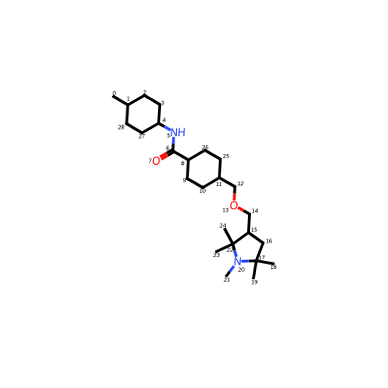 CC1CCC(NC(=O)C2CCC(COCC3CC(C)(C)N(C)C3(C)C)CC2)CC1